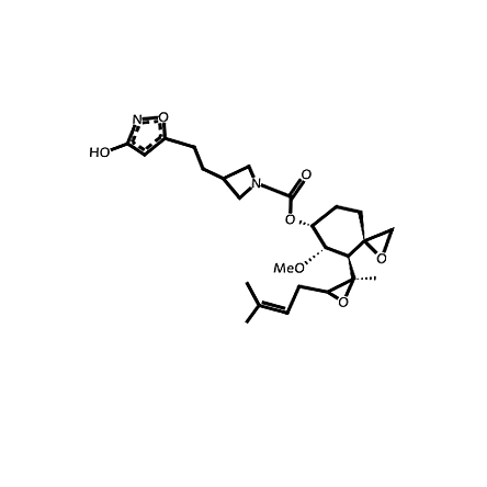 CO[C@@H]1[C@H](OC(=O)N2CC(CCc3cc(O)no3)C2)CC[C@]2(CO2)[C@H]1[C@@]1(C)OC1CC=C(C)C